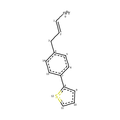 CCCC=CCc1ccc(-c2cccs2)cc1